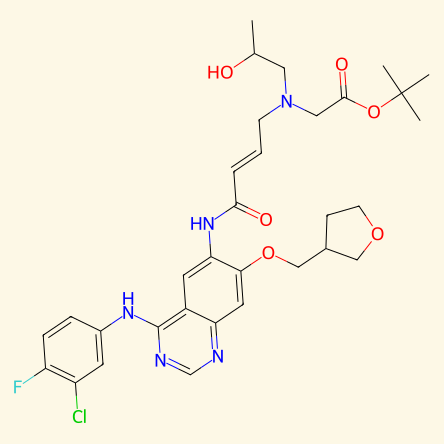 CC(O)CN(CC=CC(=O)Nc1cc2c(Nc3ccc(F)c(Cl)c3)ncnc2cc1OCC1CCOC1)CC(=O)OC(C)(C)C